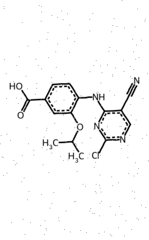 CC(C)Oc1cc(C(=O)O)ccc1Nc1nc(Cl)ncc1C#N